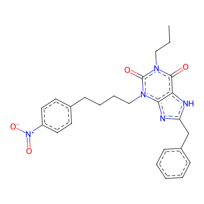 CCCn1c(=O)c2[nH]c(Cc3ccccc3)nc2n(CCCCc2ccc([N+](=O)[O-])cc2)c1=O